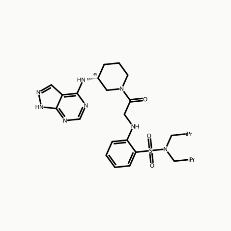 CC(C)CN(CC(C)C)S(=O)(=O)c1ccccc1NCC(=O)N1CCC[C@@H](Nc2ncnc3[nH]ncc23)C1